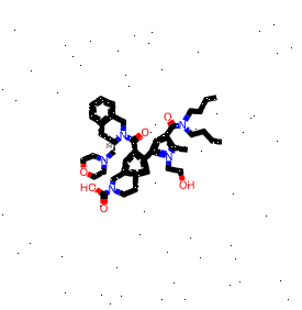 CCCCN(CCCC)C(=O)c1cc(-c2cc3c(cc2C(=O)N2Cc4ccccc4C[C@H]2CN2CCOCC2)CN(C(=O)O)CC3)n(CCO)c1C